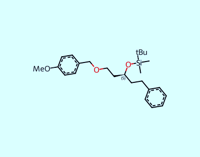 COc1ccc(COCC[C@H](CCc2ccccc2)O[Si](C)(C)C(C)(C)C)cc1